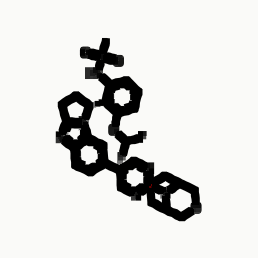 CS(=O)(=O)Nc1cccc(OC(F)F)c1[C@H]1CCc2nc3ccc(-c4cnc(N5C6COCC5COC6)nc4)cc3n21